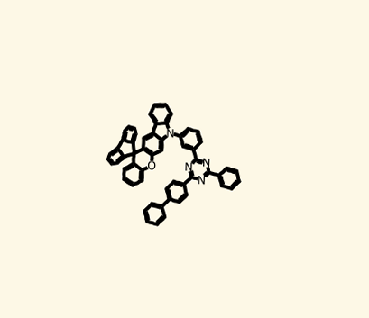 c1ccc(-c2ccc(-c3nc(-c4ccccc4)nc(-c4cccc(-n5c6ccccc6c6cc7c(cc65)Oc5ccccc5C75c6ccccc6-c6ccccc65)c4)n3)cc2)cc1